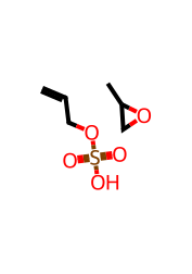 C=CCOS(=O)(=O)O.CC1CO1